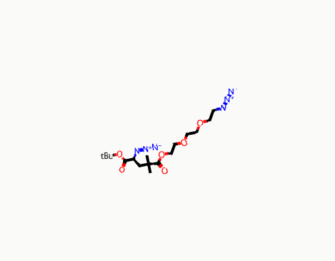 CC(C)(C)OC(=O)C(CC(C)(C)C(=O)OCCOCCOCCN=[N+]=[N-])N=[N+]=[N-]